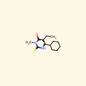 CCc1c(C2CCCCC2)[nH]c(=S)n(C)c1=O